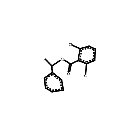 CC(OC(=O)c1c(Cl)cccc1Cl)c1ccccc1